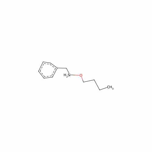 CCCCO[SiH2]Cc1ccccc1